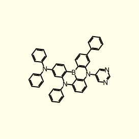 c1ccc(-c2ccc3c(c2)N(c2cncnc2)c2cccc4c2B3c2ccc(N(c3ccccc3)c3ccccc3)cc2N4c2ccccc2)cc1